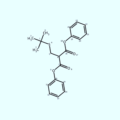 CC(C)(C)SCC(C(=O)Oc1ccccc1)C(=O)Oc1ccccc1